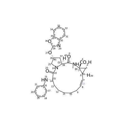 O=C1N[C@]2(C(=O)O)C[C@H]2/C=C\CCCCC[C@H](Nc2ccccc2)C(=O)N2C[C@H](Oc3nc4ccccc4o3)C[C@@H]12